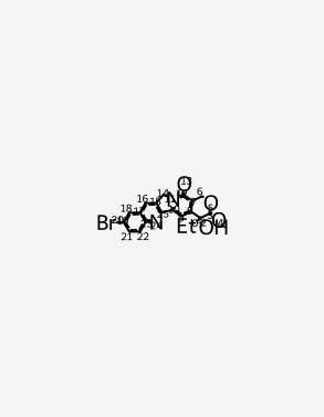 CCC1(O)C(=O)OCc2c1cc1n(c2=O)Cc2cc3cc(Br)ccc3nc2-1